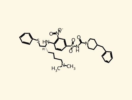 CN(C)CCCC[C@H](CSc1ccccc1)Nc1ccc(S(=O)(=O)NC(=O)N2CCC(Cc3ccccc3)CC2)cc1[N+](=O)[O-]